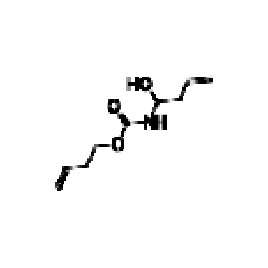 C=CCCOC(=O)NC(O)CC=C